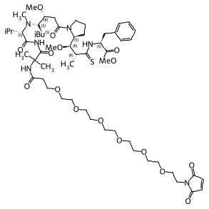 CC[C@H](C)[C@@H]([C@@H](CC(=O)N1CCC[C@H]1[C@H](OC)[C@@H](C)C(=S)N[C@@H](Cc1ccccc1)C(=O)OC)OC)N(C)[C@H](C(=O)NC(=O)C(C)(C)NC(=O)CCOCCOCCOCCOCCOCCOCCN1C(=O)C=CC1=O)C(C)C